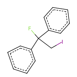 FC(CI)(c1ccccc1)c1ccccc1